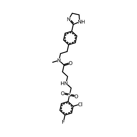 CN(CCc1ccc(C2=NCCN2)cc1)C(=O)CCNCS(=O)(=O)c1ccc(F)cc1Cl